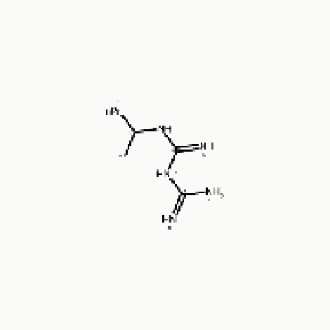 CCCC(C)NC(=N)NC(=N)N